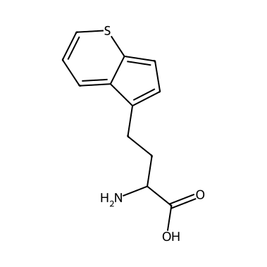 NC(CCc1ccc2scccc1-2)C(=O)O